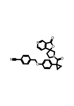 N#Cc1ccc(COc2ccc(C3(C(=O)N4CCC5(C4)OC(=O)c4cnccc45)CC3)cc2)cc1